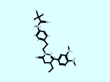 CCC1CC(=O)N(CCc2ccc(NC(=O)C(C)(C)C)cc2)N=C1c1ccc(OC)c(OC)c1